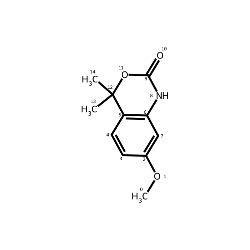 COc1ccc2c(c1)NC(=O)OC2(C)C